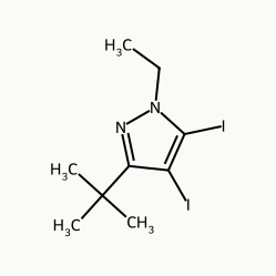 CCn1nc(C(C)(C)C)c(I)c1I